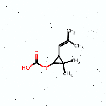 CC(C)=CC1C(OC(=O)O)C1(C)C